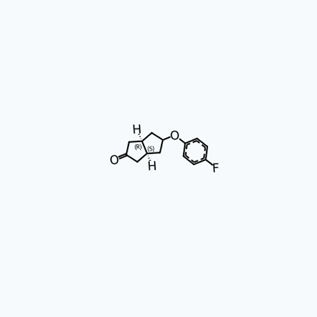 O=C1C[C@@H]2CC(Oc3ccc(F)cc3)C[C@@H]2C1